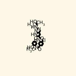 CCN(C(=O)c1ccc(Cl)c(NC(=O)c2cc3cnc(NCC(C)(C)O)nc3[nH]c2=O)c1)c1ccccc1O